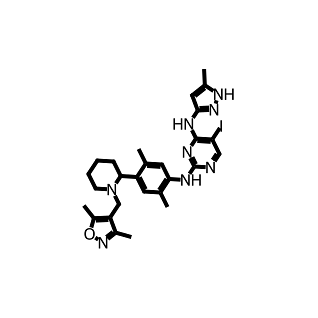 Cc1cc(Nc2nc(Nc3cc(C)c(C4CCCCN4Cc4c(C)noc4C)cc3C)ncc2I)n[nH]1